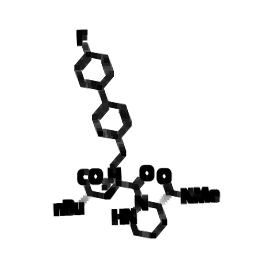 CCCC[C@@H](C[C@@H](CCc1ccc(-c2ccc(F)cc2)cc1)C(=O)N1NCCC[C@H]1C(=O)NC)C(=O)O